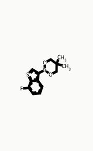 CC1(C)COB(c2csc3c(F)cccc23)OC1